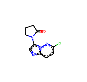 O=C1CCCN1c1cnc2ccc(Cl)nn12